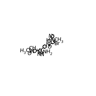 Cc1c(Br)cc(C(=O)Nc2ccc(-c3cc(C4CCN(C(=O)C(C)C)CC4)n4ncnc(N)c34)cc2)c(=O)n1-c1cccnc1